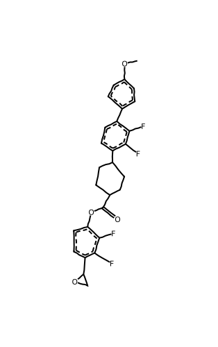 COc1ccc(-c2ccc(C3CCC(C(=O)Oc4ccc(C5CO5)c(F)c4F)CC3)c(F)c2F)cc1